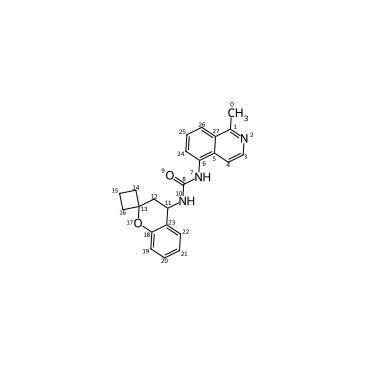 Cc1nccc2c(NC(=O)NC3CC4(CCC4)Oc4ccccc43)cccc12